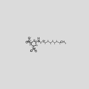 CCCCCCCCSCNc1cc([N+](=O)[O-])cc([N+](=O)[O-])c1